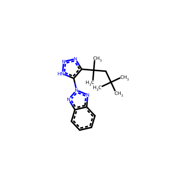 CC(C)(C)CC(C)(C)c1nn[nH]c1-n1nc2ccccc2n1